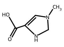 CN1C=C(C(=O)O)NC1